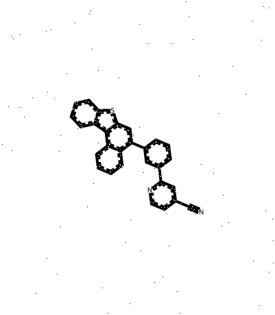 N#Cc1ccnc(-c2cccc(-c3cc4sc5ccccc5c4c4ccccc34)c2)c1